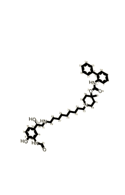 CC1(OC(=O)Nc2ccccc2-c2ccccc2)CCN(CCCCCCCCCNC[C@H](O)c2ccc(O)c(NC=O)c2)CC1